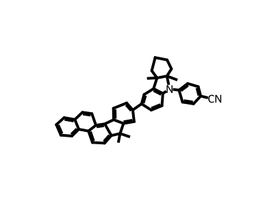 CC1(C)c2cc(-c3ccc4c(c3)C3(C)CCCCC3(C)N4c3ccc(C#N)cc3)ccc2-c2c1ccc1c2ccc2ccccc21